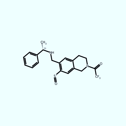 C[C@H](NCc1cc2c(cc1[S+]=O)CN(C(=O)C(F)(F)F)CC2)c1ccccc1